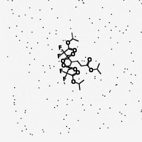 CC(C)OC(=O)CCC(S(=O)(=O)C(F)(F)C(=O)OC(C)C)S(=O)(=O)C(F)(F)C(=O)OC(C)C